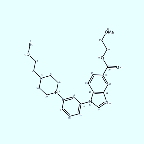 CCOCCN1CCN(c2cccc(-n3cnc4cc(C(=O)OCCOC)ccc43)c2)CC1